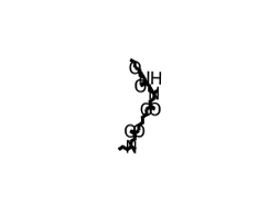 CCCN(C)CCC(=O)OCCCCOC(=O)CCN(C)CCC(=O)NCCOCC